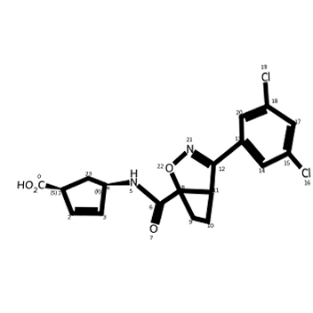 O=C(O)[C@@H]1C=C[C@H](NC(=O)C23CCC2C(c2cc(Cl)cc(Cl)c2)=NO3)C1